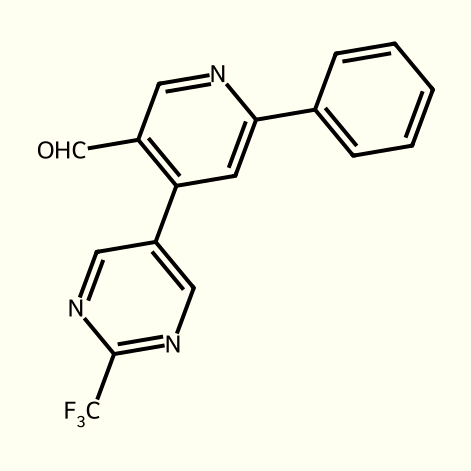 O=Cc1cnc(-c2ccccc2)cc1-c1cnc(C(F)(F)F)nc1